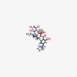 C=C1C(C(N)=O)=C(O)[C@@H](N(C)C)[C@@H]2C[C@@H]3Cc4c(F)c(CN5C6CCC5CC6)cc(O)c4C(=O)C3=C(O)[C@]12O